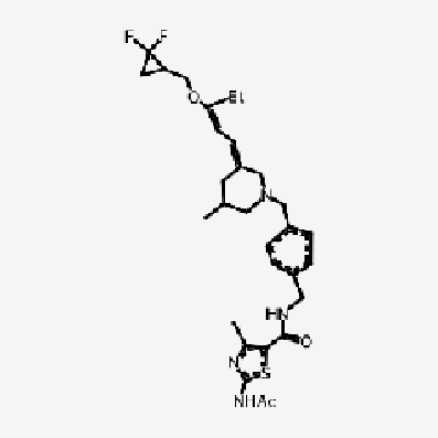 CC/C(=C\C=C1/CC(C)CN(Cc2ccc(CNC(=O)c3sc(NC(C)=O)nc3C)cc2)C1)OCC1CC1(F)F